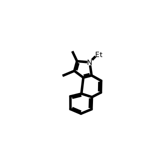 CCn1c(C)c(C)c2c3ccccc3ccc21